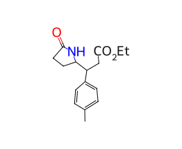 CCOC(=O)CC(c1ccc(C)cc1)C1CCC(=O)N1